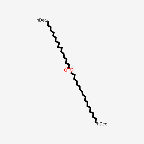 CCCCCCCCCCCCCCCCCCCCCCCCCCCCCOC(=O)CCCCCCCCCCCCCCCCCCCCCCCCCCC